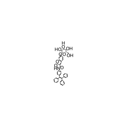 O=C(Nc1ccc(C(=C(c2ccccc2)c2ccccc2)c2ccccc2)cc1)c1cc2ccc(O[C@@H]3O[C@H](CO)[C@H](O)[C@H](O)[C@H]3O)cc2oc1=O